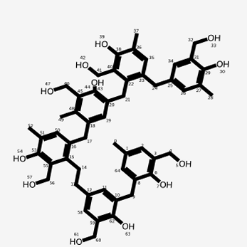 Cc1cc(CO)c(O)c(Cc2cc(CCc3c(Cc4cc(Cc5c(Cc6cc(C)c(O)c(CO)c6)cc(C)c(O)c5CO)c(O)c(CO)c4C)cc(C)c(O)c3CO)cc(CO)c2O)c1